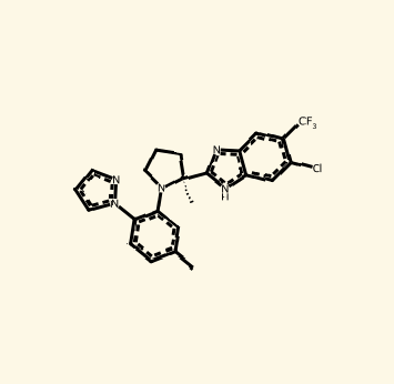 Cc1c[c]c(-n2cccn2)c(N2CCC[C@@]2(C)c2nc3cc(C(F)(F)F)c(Cl)cc3[nH]2)c1